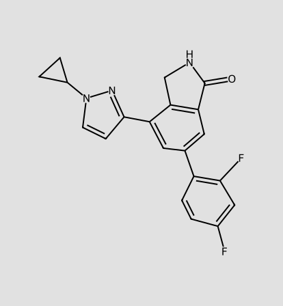 O=C1NCc2c1cc(-c1ccc(F)cc1F)cc2-c1ccn(C2CC2)n1